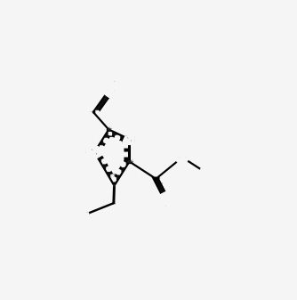 COC(=O)c1[nH]c(C=O)nc1CI